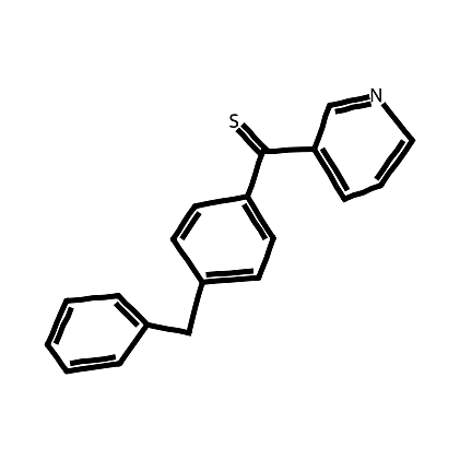 S=C(c1ccc(Cc2ccccc2)cc1)c1cccnc1